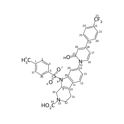 Cc1ccc(S(=O)(=O)n2c3c(c4ccc(-n5ccc(-c6ccc(C(F)(F)F)cc6)cc5=O)cc42)CCN(C(=O)O)C3)cc1